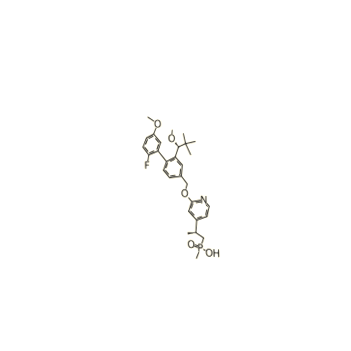 COc1ccc(F)c(-c2ccc(COc3cc([C@H](C)CP(C)(=O)O)ccn3)cc2[C@@H](OC)C(C)(C)C)c1